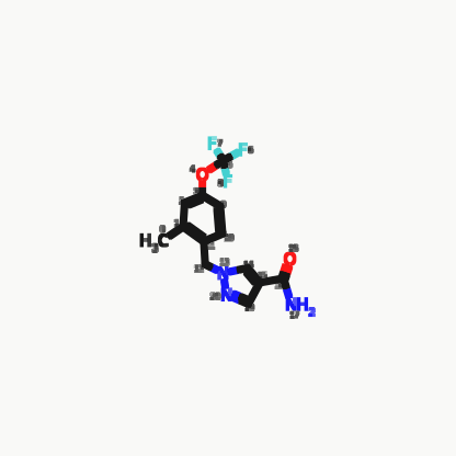 Cc1cc(OC(F)(F)F)ccc1Cn1cc(C(N)=O)cn1